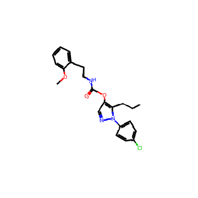 CCCc1c(OC(=O)NCCc2ccccc2OC)cnn1-c1ccc(Cl)cc1